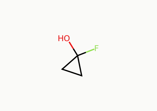 OC1(F)CC1